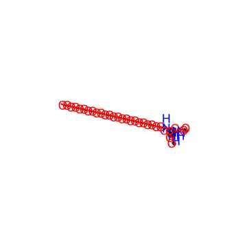 COCCOCCOCCOCCOCCOCCOCCOCCOCCOCCOCCOCCOCCOCCOCCOCCOCCOCCOCCOCCOCCOCCOCCOCCC(=O)NCCCC[C@H](NC(=O)[C@@H](NC(=O)CCCC(=O)C(C)(C)C)C(C)C)C(=O)Nc1ccc(COC(=O)C(C)(C)C)cc1